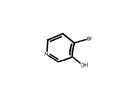 Oc1cn[c]cc1Br